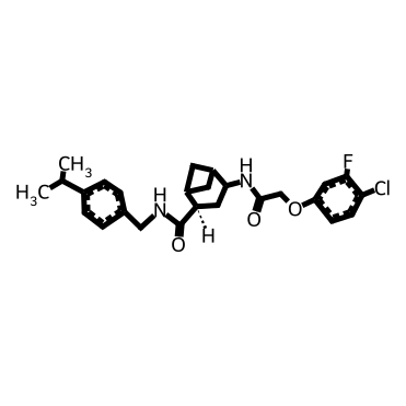 CC(C)c1ccc(CNC(=O)[C@@H]2CC(NC(=O)COc3ccc(Cl)c(F)c3)C3CC2C3)cc1